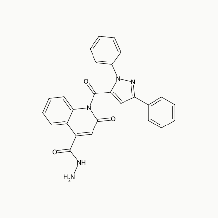 NNC(=O)c1cc(=O)n(C(=O)c2cc(-c3ccccc3)nn2-c2ccccc2)c2ccccc12